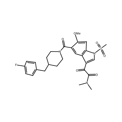 COc1cc2c(cc1C(=O)N1CCC(Cc3ccc(F)cc3)CC1)c(C(=O)C(=O)N(C)C)cn2S(C)(=O)=O